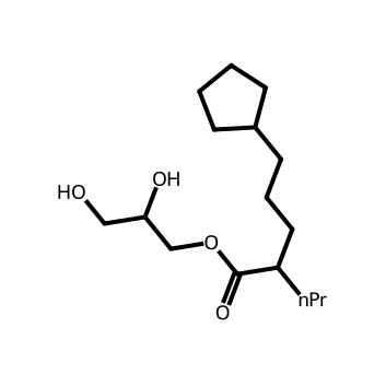 CCCC(CCCC1CCCC1)C(=O)OCC(O)CO